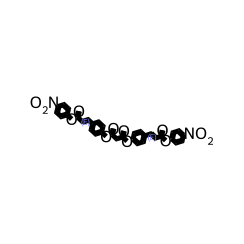 O=C(/C=C/c1ccc(OC(=O)CC(=O)Oc2ccc(/C=C/C(=O)Oc3ccc([N+](=O)[O-])cc3)cc2)cc1)Oc1ccc([N+](=O)[O-])cc1